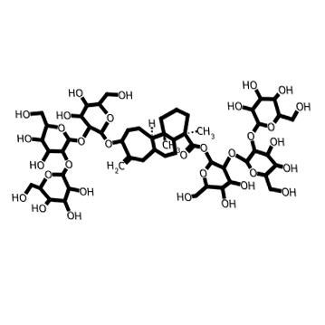 C=C1CC2CCC3[C@](C)(C(=O)OC4OC(CO)C(O)C(O)C4OC4OC(CO)C(O)C(O)C4OC4OC(CO)C(O)C(O)C4O)CCC[C@@]3(C)[C@@H]2CCC1OC1OC(CO)C(O)C(O)C1OC1OC(CO)C(O)C(O)C1OC1OC(CO)C(O)C(O)C1O